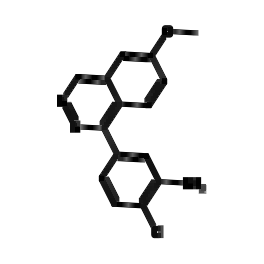 COc1ccc2c(-c3ccc(Cl)c(N)c3)nncc2c1